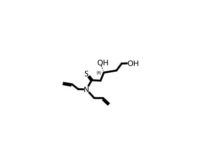 C=CCN(CC=C)C(=S)C[C@H](O)CCO